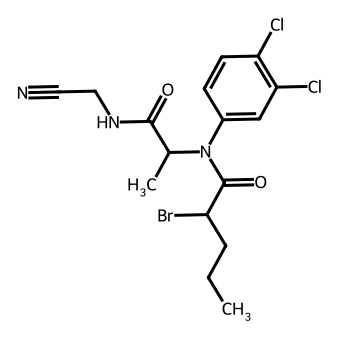 CCCC(Br)C(=O)N(c1ccc(Cl)c(Cl)c1)C(C)C(=O)NCC#N